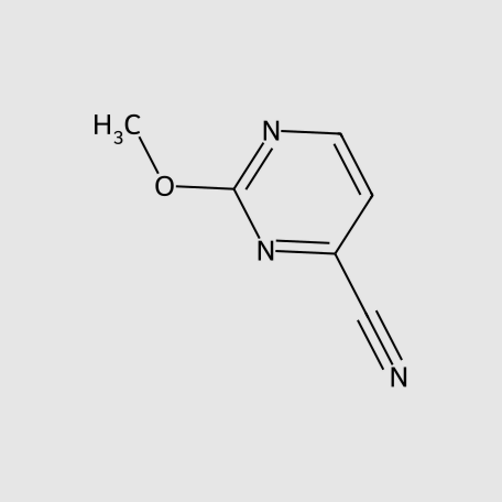 COc1nccc(C#N)n1